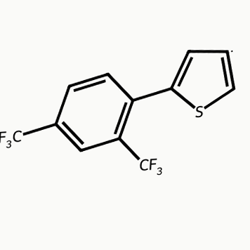 FC(F)(F)c1ccc(-c2c[c]cs2)c(C(F)(F)F)c1